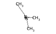 CCCCCCCCCCCCCCCn1cc[n+](CCCCCCCCCC)c1CCCCCCC